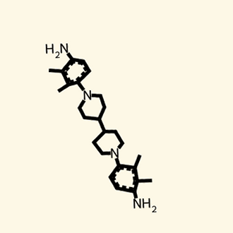 Cc1c(N)ccc(N2CCC(C3CCN(c4ccc(N)c(C)c4C)CC3)CC2)c1C